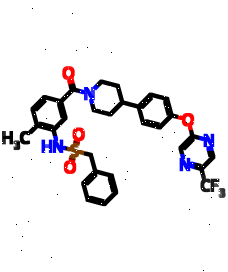 Cc1ccc(C(=O)N2CCC(c3ccc(Oc4cnc(C(F)(F)F)cn4)cc3)CC2)cc1NS(=O)(=O)Cc1ccccc1